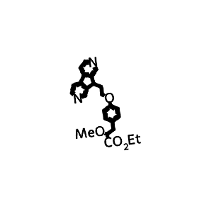 CCOC(=O)C(Cc1ccc(OCCC2c3cnccc3-c3ccncc32)cc1)OC